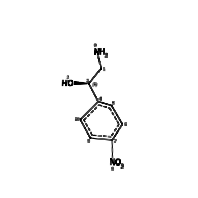 NC[C@H](O)c1ccc([N+](=O)[O-])cc1